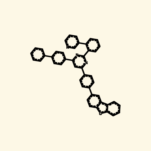 c1ccc(-c2ccc(-c3cc(-c4ccc(-c5ccc6oc7ccccc7c6c5)cc4)nc(-c4ccccc4-c4cccnc4)n3)cc2)cc1